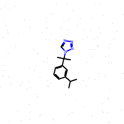 CC(C)c1cccc(C(C)(C)n2cnnn2)c1